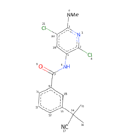 CNc1nc(Cl)c(NC(=O)c2cccc(C(C)(C)C#N)c2)cc1Cl